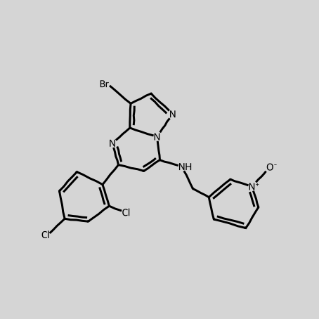 [O-][n+]1cccc(CNc2cc(-c3ccc(Cl)cc3Cl)nc3c(Br)cnn23)c1